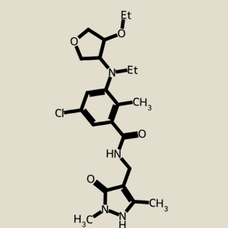 CCOC1COCC1N(CC)c1cc(Cl)cc(C(=O)NCc2c(C)[nH]n(C)c2=O)c1C